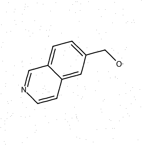 [O]Cc1ccc2cnccc2c1